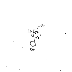 CCC(C)(CCCC(C)C)OC(=O)c1ccc(O)cc1